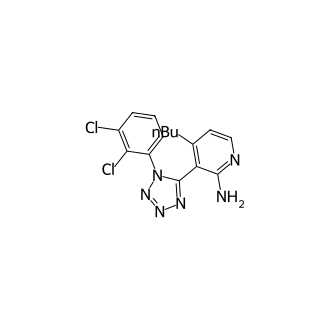 CCCCc1ccnc(N)c1-c1nnnn1-c1cccc(Cl)c1Cl